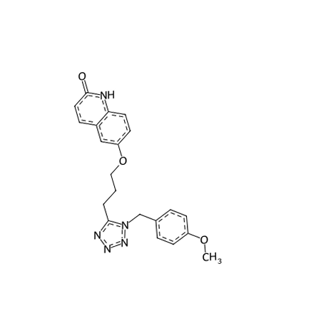 COc1ccc(Cn2nnnc2CCCOc2ccc3[nH]c(=O)ccc3c2)cc1